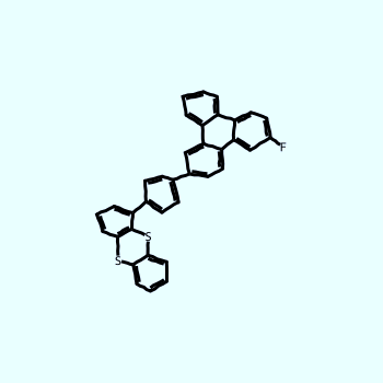 Fc1ccc2c3ccccc3c3cc(-c4ccc(-c5cccc6c5Sc5ccccc5S6)cc4)ccc3c2c1